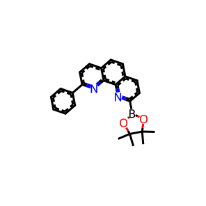 CC1(C)OB(c2ccc3ccc4ccc(-c5ccccc5)nc4c3n2)OC1(C)C